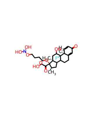 C[C@@H]1CC2C3CCC4=CC(=O)C=C[C@]4(C)[C@@]3(F)C(O)C[C@]2(C)[C@@]1(OC(=O)CCCON(O)O)C(=O)CO